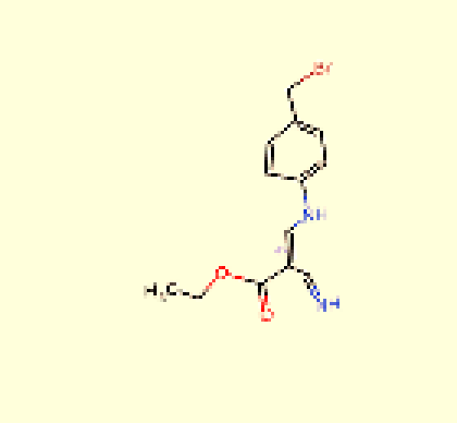 CCOC(=O)/C(C=N)=C/Nc1ccc(CBr)cc1